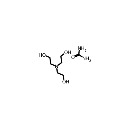 NC(N)=O.OCCN(CCO)CCO